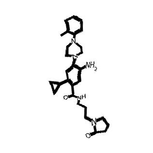 Cc1ccccc1N1CCN(c2cc(C3CC3)c(C(=O)NCCCN3CCCC3=O)cc2N)CC1